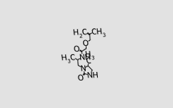 C=C(C)COCC(=O)NC(C)CN1C(=O)NCC1C